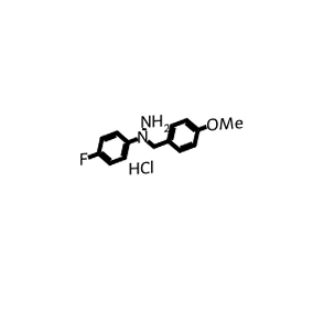 COc1ccc(CN(N)c2ccc(F)cc2)cc1.Cl